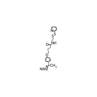 CN/N=C(\C)c1ccc(OCCCC(=O)NCCSSc2ccccn2)cc1